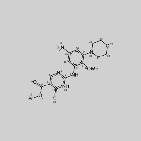 COc1c(Nc2ncc(C(=O)OC(C)C)c(=O)[nH]2)cc([N+](=O)[O-])cc1N1CCOCC1